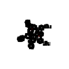 CC(C)(C)c1ccc(N(c2ccc(C(C)(C)C)cc2)c2ccc3c(c2)B2c4c(cc5c(sc6ccccc65)c4-c4cc(C56CC7CC(CC(C7)C5)C6)cc5c6cc(C78CC9CC(CC(C9)C7)C8)ccc6n2c45)N3c2ccc(C(C)(C)C)cc2-c2ccccc2)cc1